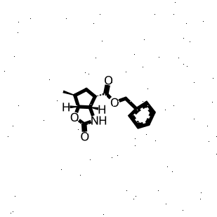 C[C@H]1C[C@H](C(=O)OCc2ccccc2)[C@@H]2NC(=O)O[C@@H]21